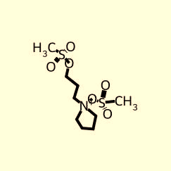 CS(=O)(=O)OCCC[N+]1(OS(C)(=O)=O)CCCC1